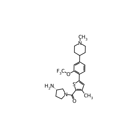 Cc1cc(-c2ccc(C3CCN(C)CC3)cc2OC(F)(F)F)sc1C(=O)N1CC[C@H](N)C1